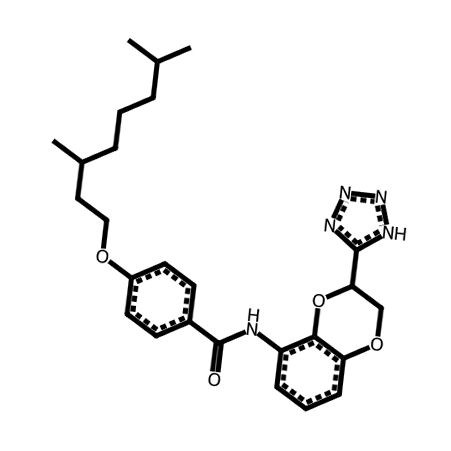 CC(C)CCCC(C)CCOc1ccc(C(=O)Nc2cccc3c2OC(c2nnn[nH]2)CO3)cc1